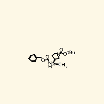 C=C[C@H](NC(=O)OCc1ccccc1)[C@H]1CCN(C(=O)OC(C)(C)C)C1